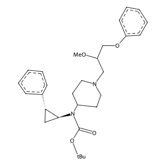 COC(COc1ccccc1)CN1CCC(N(C(=O)OC(C)(C)C)[C@H]2C[C@@H]2c2ccccc2)CC1